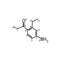 Bc1ccc(C(=O)CC)c(CC)c1